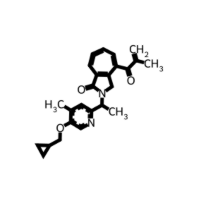 C=C(C)C(=O)C1=CC=C=CC2=C1CN(C(C)c1cc(C)c(OCC3CC3)cn1)C2=O